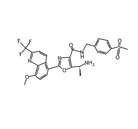 COc1ccc(-c2nc(C(=O)NCc3ccc(S(C)(=O)=O)cc3)c([C@H](C)N)o2)c2ccc(C(F)(F)F)nc12